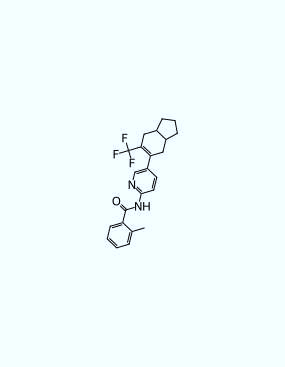 Cc1ccccc1C(=O)Nc1ccc(C2=C(C(F)(F)F)CC3CCCC3C2)cn1